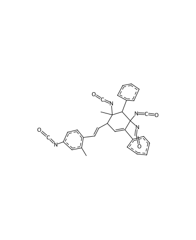 Cc1cc(N=C=O)ccc1C=CC1C=C(c2ccccc2)C(N=C=O)(N=C=O)C(c2ccccc2)C1(C)N=C=O